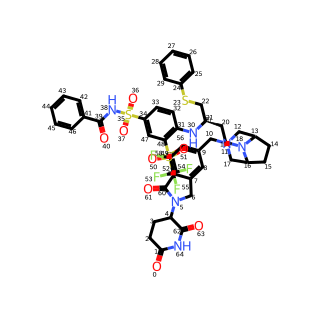 O=C1CCC(N2Cc3cc(CN4CC5CCC(C4)N5CC[C@H](CSc4ccccc4)Nc4ccc(S(=O)(=O)NC(=O)c5ccccc5)cc4S(=O)(=O)C(F)(F)F)cc(F)c3C2=O)C(=O)N1